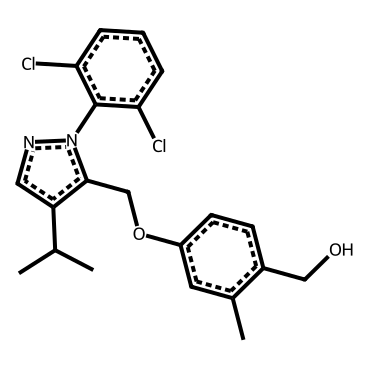 Cc1cc(OCc2c(C(C)C)cnn2-c2c(Cl)cccc2Cl)ccc1CO